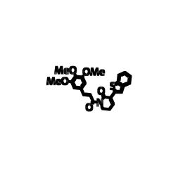 COc1cc(/C=C/C(=O)N2CCC=C(c3cc4ccccc4s3)C2=O)cc(OC)c1OC